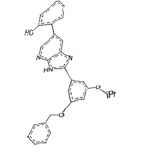 CC(C)Oc1cc(OCc2ccccc2)cc(-c2nc3cc(-c4ccccc4O)cnc3[nH]2)c1